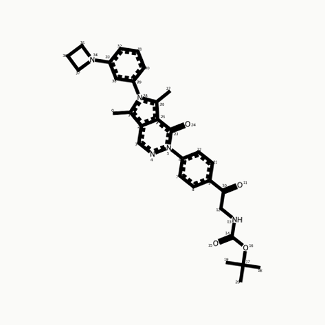 Cc1c2cnn(-c3ccc(C(=O)CNC(=O)OC(C)(C)C)cc3)c(=O)c2c(C)n1-c1cccc(N2CCC2)c1